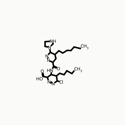 CCCCCCCC1CC(C(=O)NC2C(C(=O)O)N=NC(Cl)C2CCCCC)N=NC1N1CCNC1